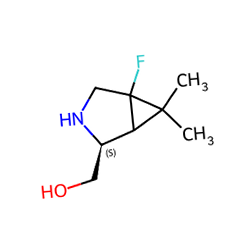 CC1(C)C2[C@@H](CO)NCC21F